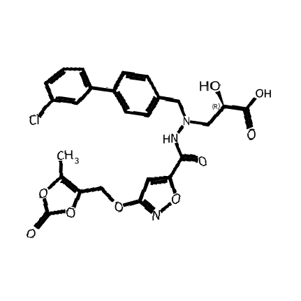 Cc1oc(=O)oc1COc1cc(C(=O)NN(Cc2ccc(-c3cccc(Cl)c3)cc2)C[C@@H](O)C(=O)O)on1